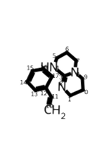 C1CN=C2NCCCN2C1.C=Cc1ccccc1